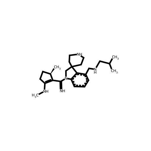 CNC1=C(C(=N)N2CC3(CCNCC3)c3c(CNCC(C)C)cccc32)[C@H](C)CC1